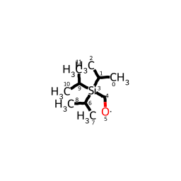 CC(C)[Si]([CH][O])(C(C)C)C(C)C